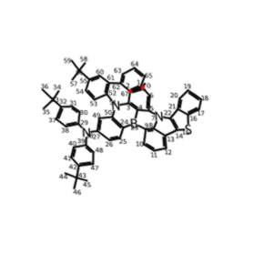 Cc1cc2c3c(c1)-n1c4c(cccc4c4sc5ccccc5c41)B3c1ccc(N(c3ccc(C(C)(C)C)cc3)c3ccc(C(C)(C)C)cc3)cc1N2c1ccc(C(C)(C)C)cc1-c1ccccc1